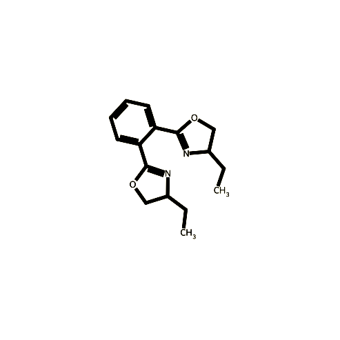 CCC1COC(c2ccccc2C2=NC(CC)CO2)=N1